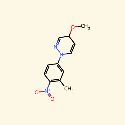 COC1C=CN(c2ccc([N+](=O)[O-])c(C)c2)N=C1